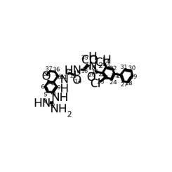 N=C(N)Nc1ccc2c(c1)[C@@H](NCC(=O)N/C=C(/NC(=O)c1c(Cl)cc(-c3ccccc3)cc1Cl)C(=O)O)CCO2